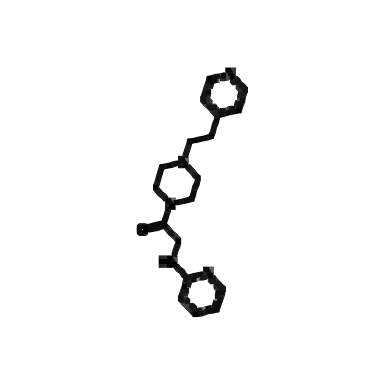 O=C(CNc1ccccn1)N1CCN(CCc2ccncc2)CC1